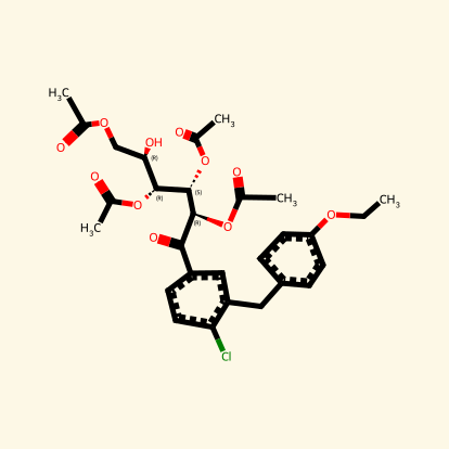 CCOc1ccc(Cc2cc(C(=O)[C@H](OC(C)=O)[C@@H](OC(C)=O)[C@H](OC(C)=O)[C@H](O)COC(C)=O)ccc2Cl)cc1